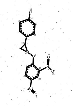 O=[N+]([O-])c1ccc(ON2CC2c2ccc(Cl)cc2)c([N+](=O)[O-])c1